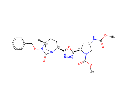 CC(C)(C)OC(=O)N[C@H]1C[C@H](c2nnc([C@@H]3CC[C@@H]4CN3C(=O)N4OCc3ccccc3)o2)N(C(=O)OC(C)(C)C)C1